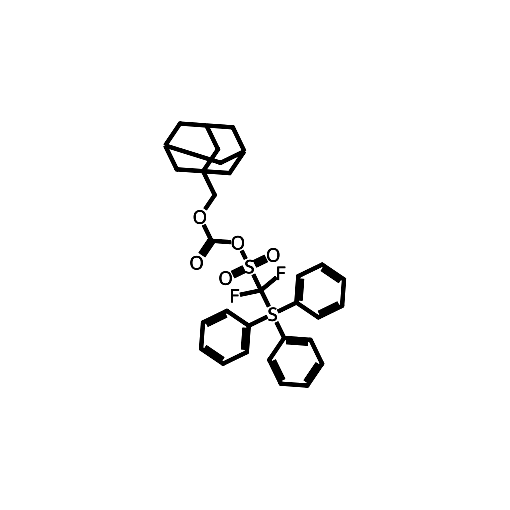 O=C(OCC12CC3CC(CC(C3)C1)C2)OS(=O)(=O)C(F)(F)S(c1ccccc1)(c1ccccc1)c1ccccc1